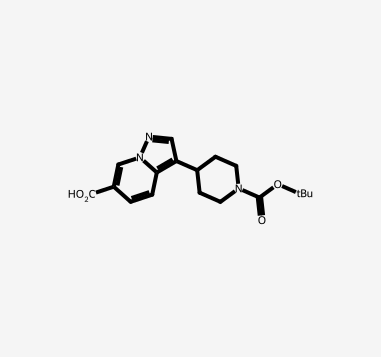 CC(C)(C)OC(=O)N1CCC(c2cnn3cc(C(=O)O)ccc23)CC1